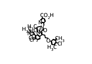 Cc1cc(OCCCc2c3n(c4c(-c5c(C)nn(C)c5C)c(Cl)ccc24)CC(C)CN(Cc2ccc(C(=O)O)cn2)C3=O)cc(C)c1Cl